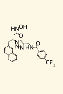 O=C(C[C@@H](Cc1ccc2ccccc2c1)n1cc(CNC(=O)c2ccc(C(F)(F)F)cc2)nn1)NO